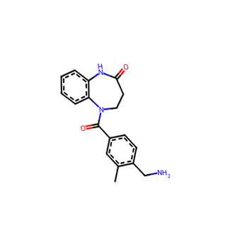 Cc1cc(C(=O)N2CCC(=O)Nc3ccccc32)ccc1CN